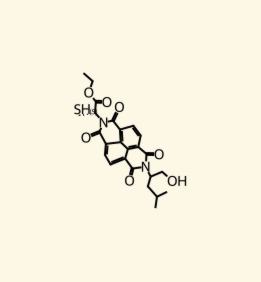 CCOC(=O)[C@@H](CS)N1C(=O)c2ccc3c4c(ccc(c24)C1=O)C(=O)N(C(CO)CC(C)C)C3=O